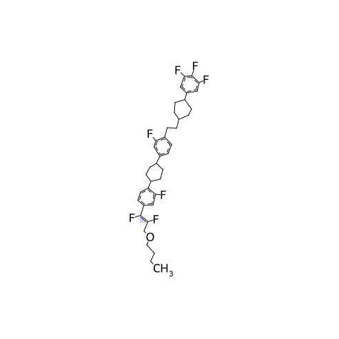 CCCCOC/C(F)=C(\F)c1ccc(C2CCC(c3ccc(CCC4CCC(c5cc(F)c(F)c(F)c5)CC4)c(F)c3)CC2)c(F)c1